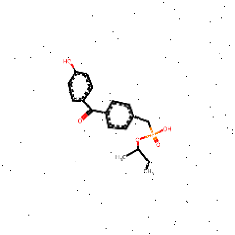 CCC(C)OP(=O)(O)Cc1ccc(C(=O)c2ccc(O)cc2)cc1